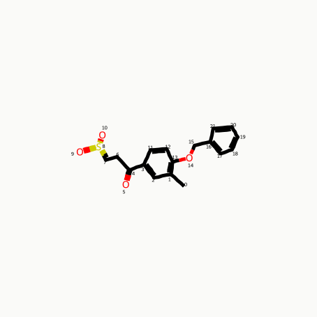 Cc1cc(C(=O)CC=S(=O)=O)ccc1OCc1ccccc1